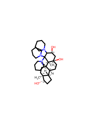 C[C@]12CC[C@H]3[C@@H](CC[C@@]4(O)C[C@H](O)C(N5CCCCC5)C(N5CCCCC5)(N5CCCCC5)[C@]34C)[C@@H]1CC[C@@H]2O